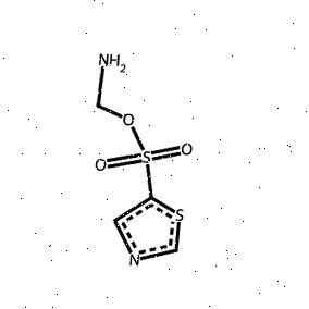 NCOS(=O)(=O)c1cncs1